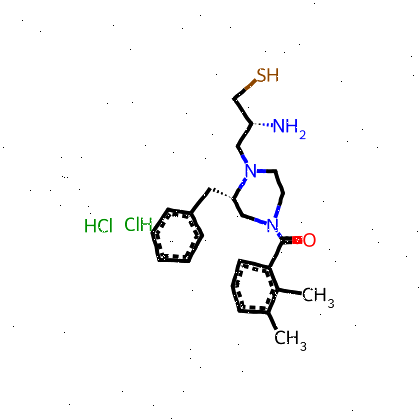 Cc1cccc(C(=O)N2CCN(C[C@@H](N)CS)[C@@H](Cc3ccccc3)C2)c1C.Cl.Cl